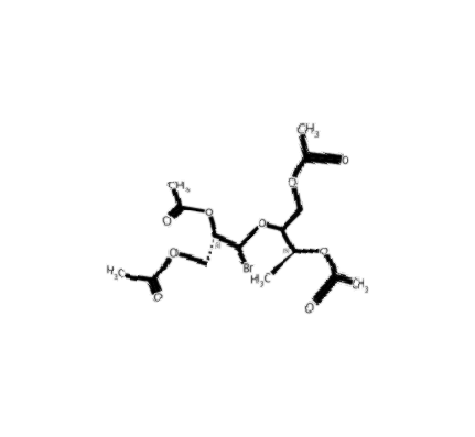 CC(=O)OCC(OC(Br)[C@H](COC(C)=O)OC(C)=O)[C@H](C)OC(C)=O